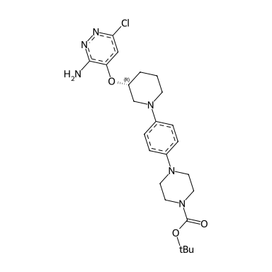 CC(C)(C)OC(=O)N1CCN(c2ccc(N3CCC[C@@H](Oc4cc(Cl)nnc4N)C3)cc2)CC1